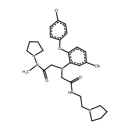 CN(C(=O)CN(CC(=O)NCCN1CCCC1)c1cc(C#N)ccc1Oc1ccc(Cl)cc1)N1CCCC1